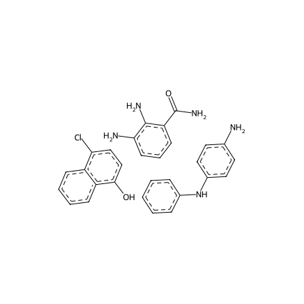 NC(=O)c1cccc(N)c1N.Nc1ccc(Nc2ccccc2)cc1.Oc1ccc(Cl)c2ccccc12